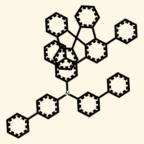 c1ccc(-c2ccc(N(c3cccc(-c4ccccc4)c3)c3cc(-c4ccc(-c5ccccc5)c5c4C4(c6ccccc6-c6ccccc64)c4ccccc4-5)c4ccccc4c3)cc2)cc1